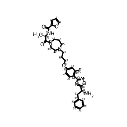 C[C@H](NC(=O)c1ccco1)C(=O)N1CCCN(CCCOc2ccc(-c3noc([C@H](N)Cc4ccccc4)n3)c(F)c2)CC1